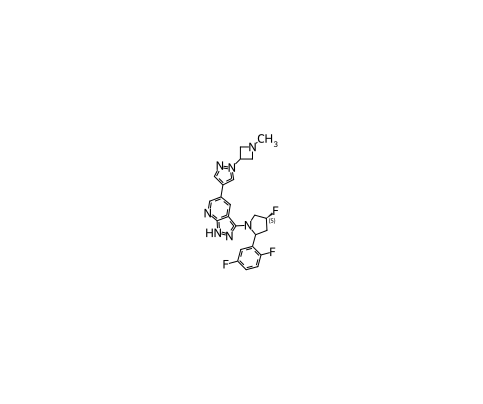 CN1CC(n2cc(-c3cnc4[nH]nc(N5C[C@@H](F)CC5c5cc(F)ccc5F)c4c3)cn2)C1